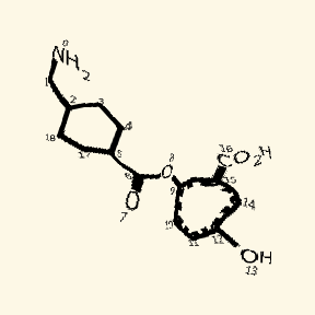 NCC1CCC(C(=O)Oc2ccc(O)cc2C(=O)O)CC1